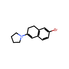 Brc1ccc2c(c1)CCC(N1CCCC1)=C2